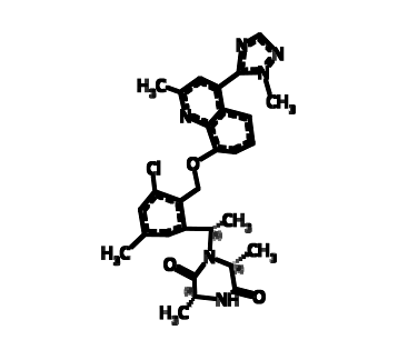 Cc1cc(Cl)c(COc2cccc3c(-c4ncnn4C)cc(C)nc23)c([C@H](C)N2C(=O)[C@@H](C)NC(=O)[C@H]2C)c1